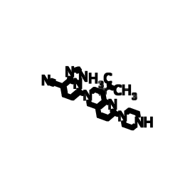 CC(C)[C@H]1CN(c2ccc(C#N)c3ncnn23)Cc2ccc(N3CCNCC3)nc21